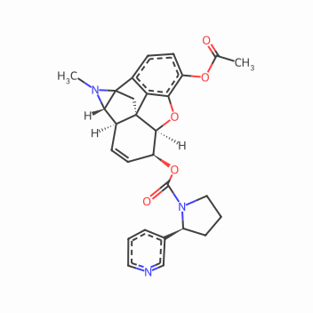 CC(=O)Oc1ccc2c3c1O[C@H]1[C@@H](OC(=O)N4CCC[C@H]4c4cccnc4)C=C[C@H]4[C@@H]5N(C)C25C[C@@]341